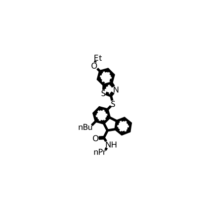 CCCCc1ccc(Sc2nc3ccc(OCC)cc3s2)c2c1C(C(=O)NCCC)c1ccccc1-2